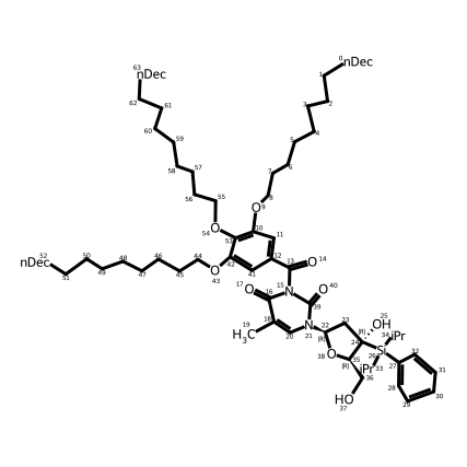 CCCCCCCCCCCCCCCCCCOc1cc(C(=O)n2c(=O)c(C)cn([C@H]3C[C@@](O)([Si](c4ccccc4)(C(C)C)C(C)C)[C@@H](CO)O3)c2=O)cc(OCCCCCCCCCCCCCCCCCC)c1OCCCCCCCCCCCCCCCCCC